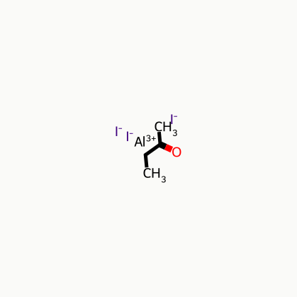 CCC(C)=O.[Al+3].[I-].[I-].[I-]